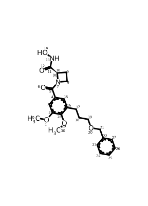 COc1cc(C(=O)N2CC[C@@H]2C(=O)NO)cc(CCCOCc2ccccc2)c1OC